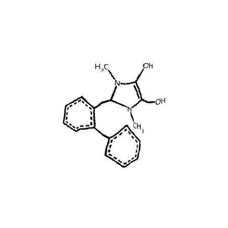 CN1C(O)=C(O)N(C)C1c1ccccc1-c1ccccc1